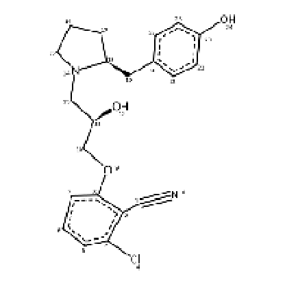 N#Cc1c(Cl)cccc1OC[C@H](O)CN1CCC[C@H]1Cc1ccc(O)cc1